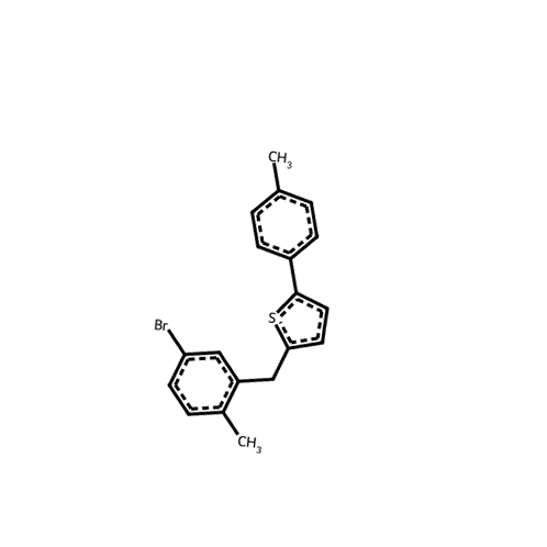 Cc1ccc(-c2ccc(Cc3cc(Br)ccc3C)s2)cc1